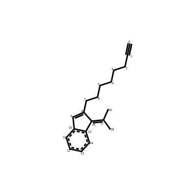 C#CCCCCCCC1=Cc2ccccc2C1=C(C)C